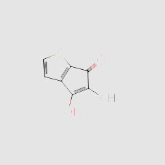 CC1=C(O)c2ccsc2C1=O